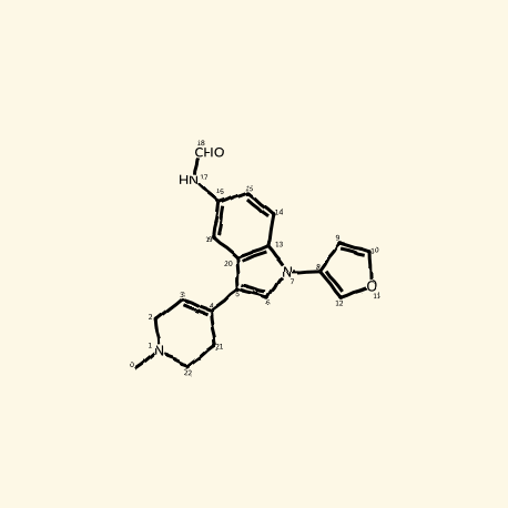 CN1CC=C(c2cn(-c3ccoc3)c3ccc(NC=O)cc23)CC1